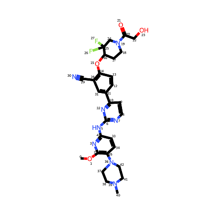 COc1nc(Nc2nccc(-c3ccc(OC4CCN(C(=O)CO)CC4(F)F)c(C#N)c3)n2)ccc1N1CCN(C)CC1